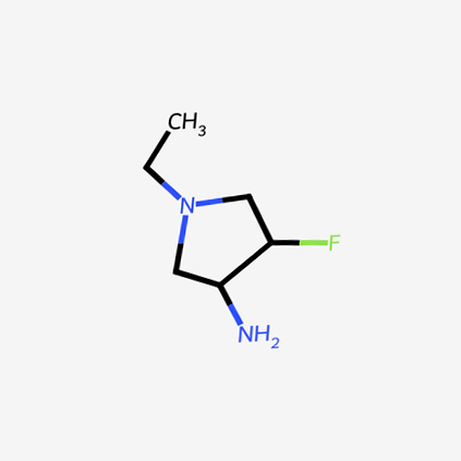 CCN1CC(N)C(F)C1